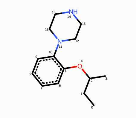 CCC(C)Oc1ccccc1N1CCNCC1